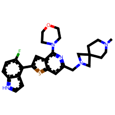 CN1CCC2(CC1)CN(Cc1cc3sc(-c4c(F)ccc5[nH]ccc45)cc3c(N3CCOCC3)n1)C2